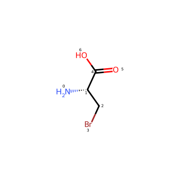 N[C@@H](CBr)C(=O)O